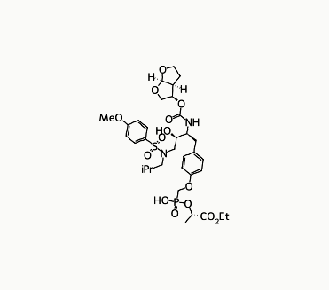 CCOC(=O)[C@H](C)OP(=O)(O)COc1ccc(C[C@H](NC(=O)O[C@H]2CO[C@H]3OCC[C@H]32)[C@H](O)CN(CC(C)C)S(=O)(=O)c2ccc(OC)cc2)cc1